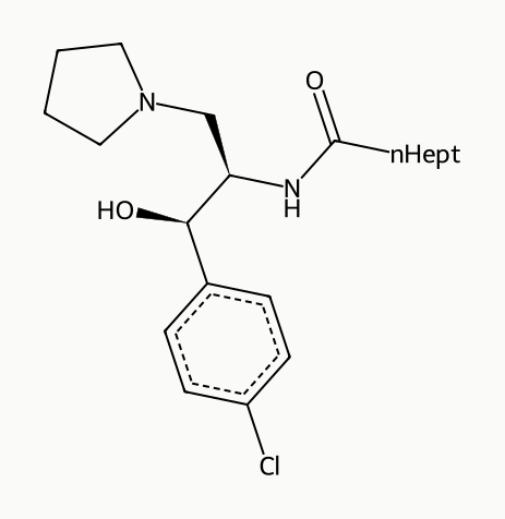 CCCCCCCC(=O)N[C@H](CN1CCCC1)[C@H](O)c1ccc(Cl)cc1